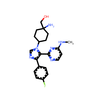 CNc1ccnc(-c2c(-c3ccc(F)cc3)ncn2C2CCC(N)(CO)CC2)n1